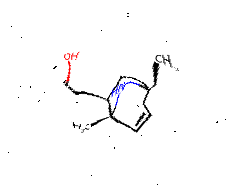 C[C@@]12C=C[C@@](C)(N1)[C@@H](CO)C2